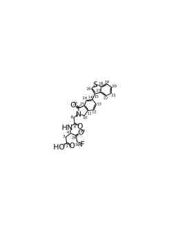 O=C(O)CC(NC(=O)CN1Cc2ccc(-c3csc4ccccc34)cc2C1=O)C(=O)CF